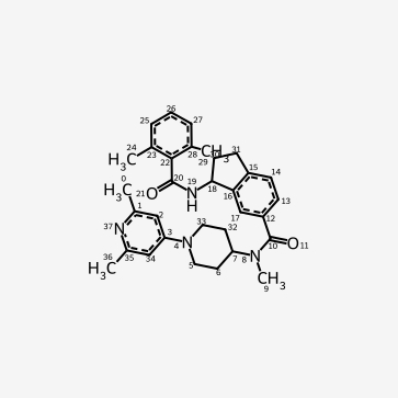 Cc1cc(N2CCC(N(C)C(=O)c3ccc4c(c3)C(NC(=O)c3c(C)cccc3C)CC4)CC2)cc(C)n1